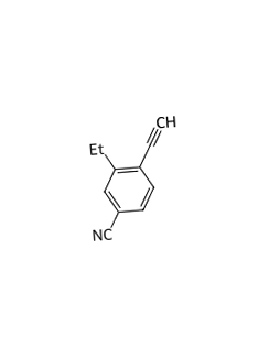 C#Cc1ccc(C#N)cc1CC